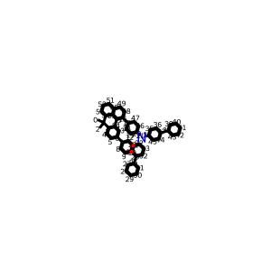 CC1(C)c2ccc(-c3ccccc3)cc2-c2c(-c3ccc(N(c4ccc(-c5ccccc5)cc4)c4ccc(-c5ccccc5)cc4)cc3)ccc3cccc1c23